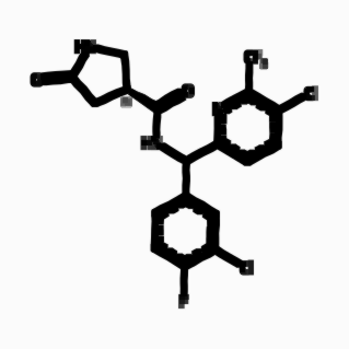 O=C1C[C@H](C(=O)NC(c2ccc(F)c(Cl)c2)c2ccc(Cl)c(C(F)(F)F)n2)CN1